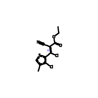 CCOC(=O)/C(C#N)=C(\Cl)c1scc(C)c1Cl